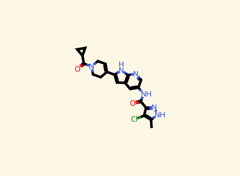 Cc1[nH]nc(C(=O)Nc2cnc3[nH]c(C4=CCN(C(=O)C5CC5)CC4)cc3c2)c1Cl